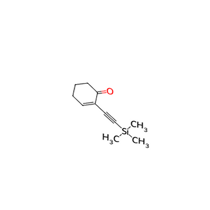 C[Si](C)(C)C#CC1=CCCCC1=O